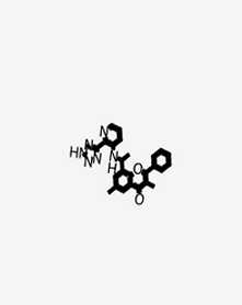 Cc1cc(C(C)Nc2cccnc2-c2nn[nH]n2)c2oc(-c3ccccc3)c(C)c(=O)c2c1